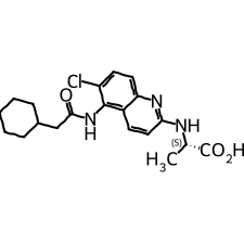 C[C@H](Nc1ccc2c(NC(=O)CC3CCCCC3)c(Cl)ccc2n1)C(=O)O